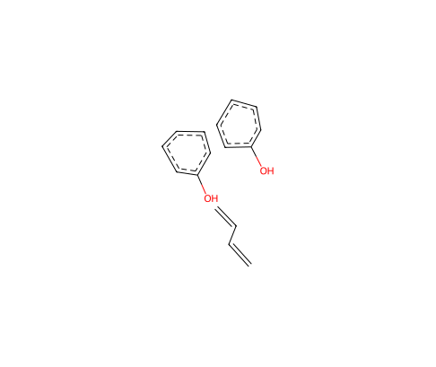 C=CC=C.Oc1ccccc1.Oc1ccccc1